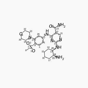 CS(=O)(=O)c1ccc(Nc2nc(N[C@@H]3CCCC[C@@H]3N)ncc2C(N)=O)cc1N1CCOCC1